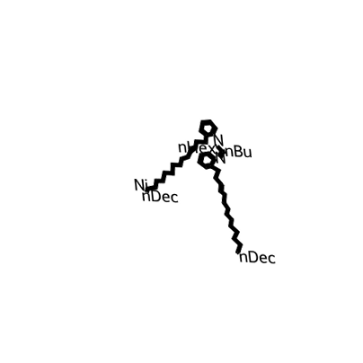 CCCCCCCCCCCCCCCCCCCC/C=C/CCc1ccccc1/N=C(CCCC)\C(CCCCCC)=N\c1ccccc1CC/C=C/CCCCCCCCCCCCCCCCCCCC.[Ni]